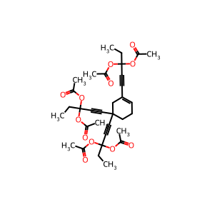 CCC(C#CC1=CCCC(C#CC(CC)(OC(C)=O)OC(C)=O)(C#CC(CC)(OC(C)=O)OC(C)=O)C1)(OC(C)=O)OC(C)=O